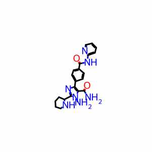 NC(=O)c1c(-c2ccc(C(=O)Nc3ccccn3)cc2)nc(C2CCCCN2)n1N